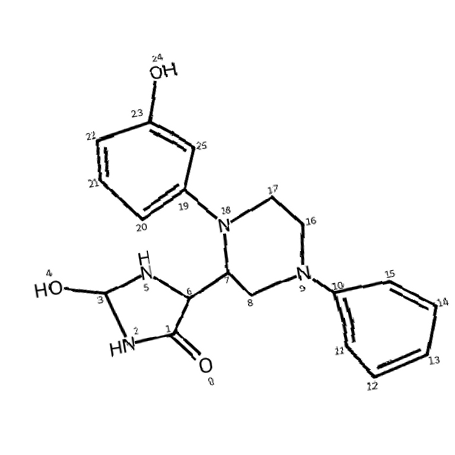 O=C1NC(O)NC1C1CN(c2ccccc2)CCN1c1cccc(O)c1